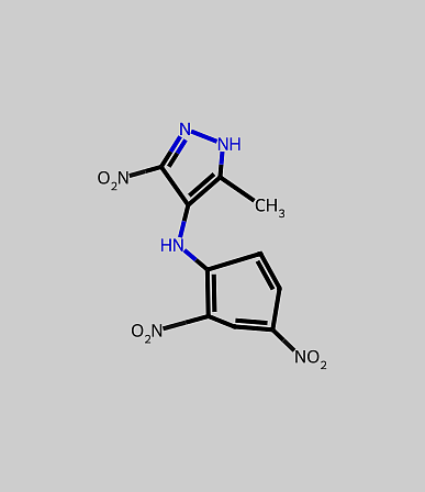 Cc1[nH]nc([N+](=O)[O-])c1Nc1ccc([N+](=O)[O-])cc1[N+](=O)[O-]